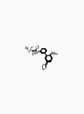 C=CC(=O)Nc1cccc(-c2cc(Cl)ccc2C(C)CC)c1